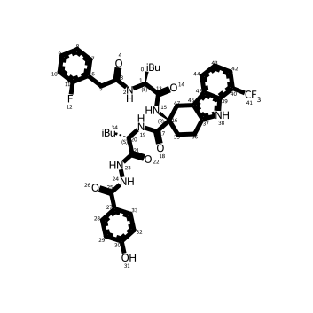 CCC(C)[C@H](NC(=O)Cc1ccccc1F)C(=O)N[C@]1(C(=O)N[C@H](C(=O)NNC(=O)c2ccc(O)cc2)C(C)CC)CCc2[nH]c3c(C(F)(F)F)cccc3c2C1